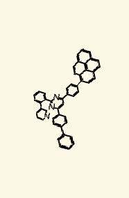 c1ccc(-c2ccc(-c3cc(-c4ccc(-c5ccc6ccc7cccc8ccc5c6c78)cc4)nc(-c4ccccc4-c4cccnc4)n3)cc2)cc1